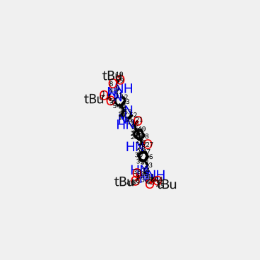 CC(C)(C)OC(=O)/N=C(/NC(=O)OC(C)(C)C)N1CC=C(c2cnc(NC(=O)C34CCC(C(=O)Nc5ccc(CN/C(=N\C(=O)OC(C)(C)C)NC(=O)OC(C)(C)C)cc5)(CC3)CC4)cn2)CC1